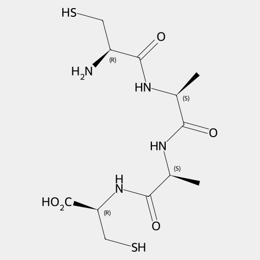 C[C@H](NC(=O)[C@H](C)NC(=O)[C@@H](N)CS)C(=O)N[C@@H](CS)C(=O)O